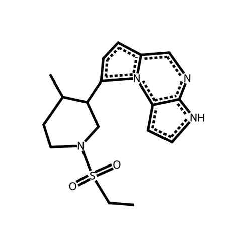 CCS(=O)(=O)N1CCC(C)C(c2ccc3cnc4[nH]ccc4n23)C1